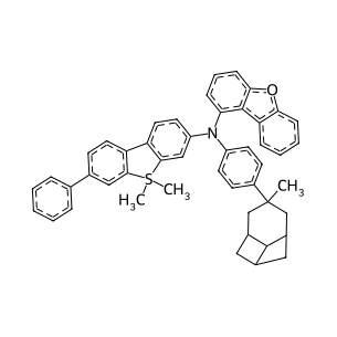 CC1(c2ccc(N(c3ccc4c(c3)S(C)(C)c3cc(-c5ccccc5)ccc3-4)c3cccc4oc5ccccc5c34)cc2)CC2CC3CC(C1)C32